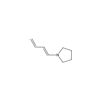 [CH]=C/C=C/N1CCCC1